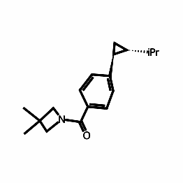 CC(C)[C@H]1C[C@@H]1c1ccc(C(=O)N2CC(C)(C)C2)cc1